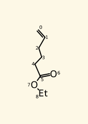 C=CCCCC(=O)OCC